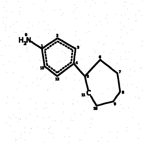 Nc1ccc(C2CCCCCC2)cc1